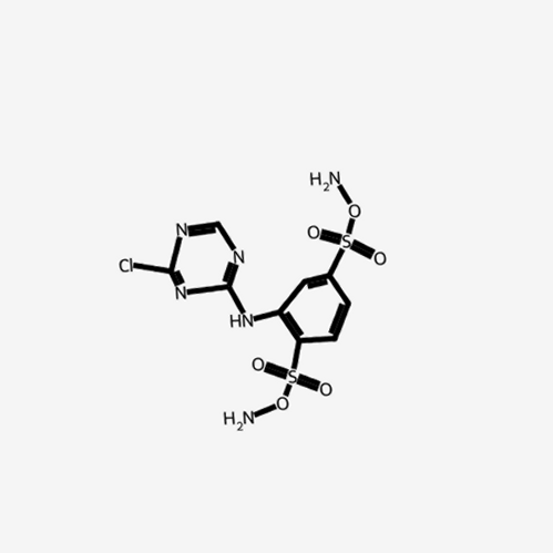 NOS(=O)(=O)c1ccc(S(=O)(=O)ON)c(Nc2ncnc(Cl)n2)c1